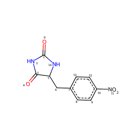 O=C1NC(=O)C(Cc2ccc([N+](=O)[O-])cc2)N1